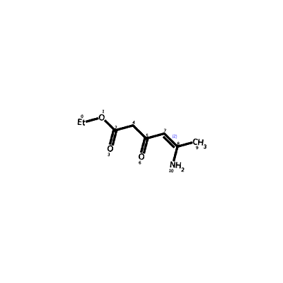 CCOC(=O)CC(=O)/C=C(/C)N